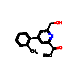 COC(=O)c1cc(-c2ccccc2C)cc(CO)n1